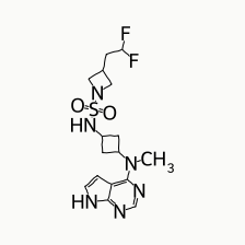 CN(c1ncnc2[nH]ccc12)C1CC(NS(=O)(=O)N2CC(CC(F)F)C2)C1